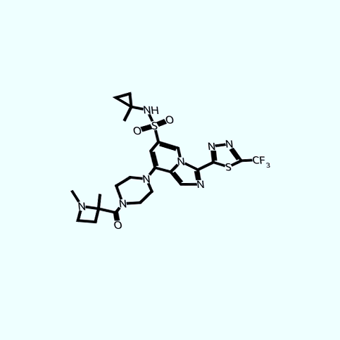 CN1CCC1(C)C(=O)N1CCN(c2cc(S(=O)(=O)NC3(C)CC3)cn3c(-c4nnc(C(F)(F)F)s4)ncc23)CC1